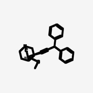 CO[C@@]1(C#CC(c2ccccc2)c2ccccc2)CN2CCC1CC2